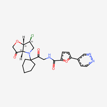 O=C(NCC(=O)C1(N2C[C@H](Cl)[C@H]3OCC(=O)[C@H]32)CCCCC1)c1ccc(-c2ccnnc2)o1